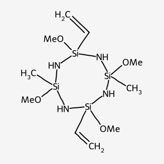 C=C[Si]1(OC)N[Si](C)(OC)N[Si](C=C)(OC)N[Si](C)(OC)N1